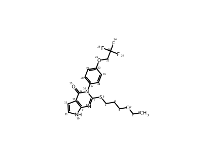 CCOCCCSc1nc2[nH]ccc2c(=O)n1-c1ccc(OCC(F)(F)F)cc1